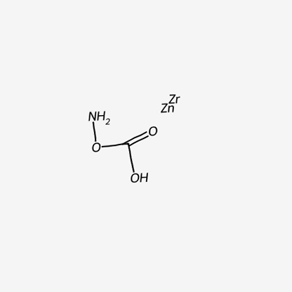 NOC(=O)O.[Zn].[Zr]